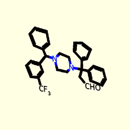 O=CCC(c1ccccc1)(c1ccccc1)N1CCN(C(c2ccccc2)c2cccc(C(F)(F)F)c2)CC1